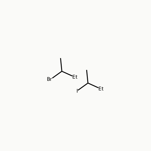 CCC(C)Br.CCC(C)I